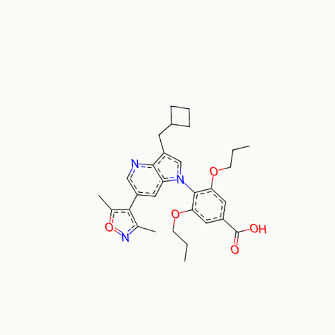 CCCOc1cc(C(=O)O)cc(OCCC)c1-n1cc(CC2CCC2)c2ncc(-c3c(C)noc3C)cc21